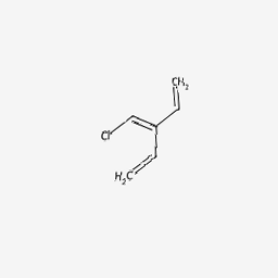 C=CC(C=C)=CCl